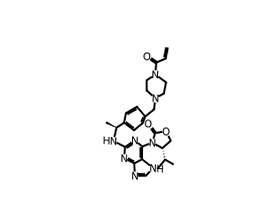 C=CC(=O)N1CCN(Cc2ccc([C@H](C)Nc3nc(N4C(=O)OC[C@@H]4C(C)C)c4[nH]cnc4n3)cc2)CC1